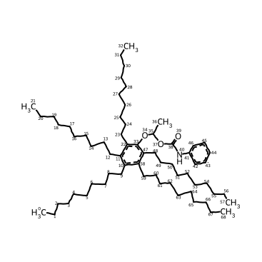 CCCCCCCCCCc1c(CCCCCCCCCC)c(CCCCCCCCCC)c(OC(C)OC(=O)Nc2c[c]ccc2)c(CCCCCCCCCC)c1CCCCCCCCCC